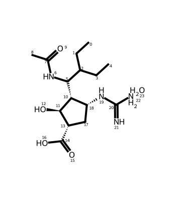 CCC(CC)C(NC(C)=O)[C@H]1[C@H](O)[C@@H](C(=O)O)C[C@H]1NC(=N)N.O